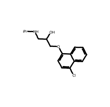 CC(C)NCC(O)COc1ccc(Cl)c2ccccc12